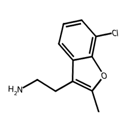 Cc1oc2c(Cl)cccc2c1CCN